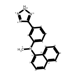 CN(c1cccc(-c2nn[nH]n2)c1)c1cccc2ccccc12